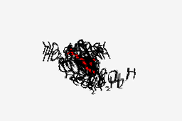 O=C(O)c1ccccc1C(=O)NCCC[Si]12O[Si]3(CCCNC(=O)c4ccccc4C(=O)O)O[Si]4(CCCNC(=O)c5ccccc5C(=O)O)O[Si](CCCNC(=O)c5ccccc5C(=O)O)(O1)O[Si]1(CCCNC(=O)c5ccccc5C(=O)O)O[Si](CCCNC(=O)c5ccccc5C(=O)O)(O2)O[Si](CCCNC(=O)c2ccccc2C(=O)O)(O3)O[Si](CCCNC(=O)c2ccccc2C(=O)O)(O4)O1